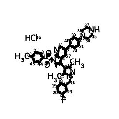 Cc1ccc(S(=O)(=O)n2cc(-c3c(C)nn(Cc4cccc(F)c4)c3C)c3cc(-c4ccc(N5CCNCC5)cc4)cnc32)cc1.Cl